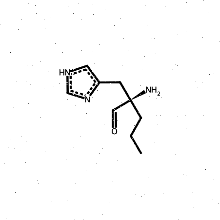 CCC[C@](N)(C=O)Cc1c[nH]cn1